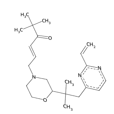 C=Cc1nccc(CC(C)(C)C2CN(C/C=C/C(=O)C(C)(C)C)CCO2)n1